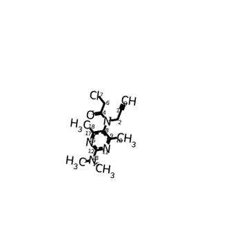 C#CCN(C(=O)CCl)c1c(C)nc(N(C)C)nc1C